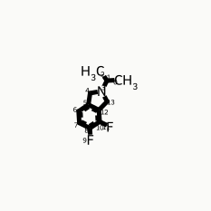 CC(C)N1Cc2ccc(F)c(F)c2C1